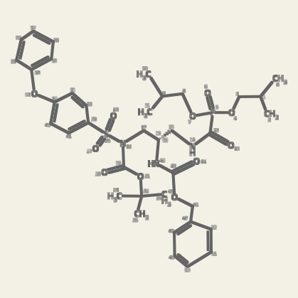 CC(C)COP(=O)(OCC(C)C)C(=O)NC[C@@H](CN(C(=O)OC(C)(C)C)S(=O)(=O)c1ccc(Oc2ccccc2)cc1)NC(=O)OCc1ccccc1